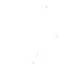 CCCc1ccc(-c2ccc(C3CCCC(C#N)(CCCCCCCCCO)C3)cc2)cc1